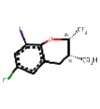 O=C(O)[C@@H]1Cc2cc(Cl)cc(I)c2O[C@@H]1C(F)(F)F